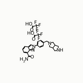 NC(=O)c1cccc2cn(-c3ccc(CN4CC5CNCC5C4)cc3)nc12.O=C(O)C(F)(F)F.O=C(O)C(F)(F)F